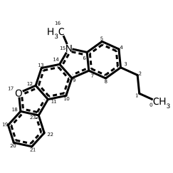 CCCc1ccc2c(c1)c1cc3c(cc1n2C)oc1ccccc13